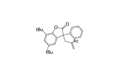 C=C(CC1(c2ccccc2)C(=O)Oc2c(C(C)(C)C)cc(C(C)(C)C)cc21)C(C)=O